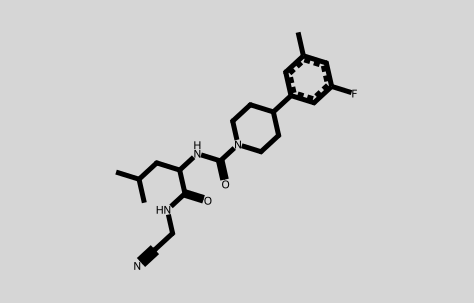 Cc1cc(F)cc(C2CCN(C(=O)NC(CC(C)C)C(=O)NCC#N)CC2)c1